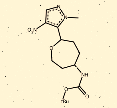 Cn1ncc([N+](=O)[O-])c1C1CCC(NC(=O)OC(C)(C)C)CCO1